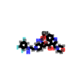 COc1ccc2ncc(CN3CCOCC3)c([C@H](O)CCC3(C(=O)NO)CCN(CCNc4cc(F)cc(F)c4F)CC3)c2c1